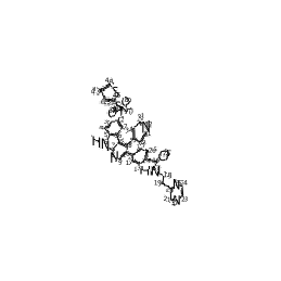 CN(c1ccc2[nH]c3ncc(-c4ccc(C(=O)NCCc5cnccn5)cc4)c(-c4ccncc4)c3c2c1)S(=O)(=O)c1cccs1